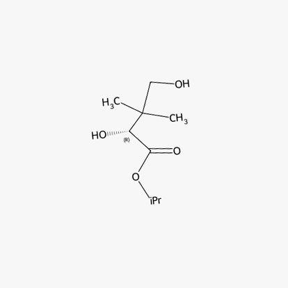 CC(C)OC(=O)[C@H](O)C(C)(C)CO